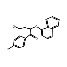 O=C(c1ccc(F)cc1)C(CCCl)Oc1cccc2ccccc12